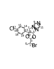 CC(Br)C1OCC(Cn2cncn2)(c2ccc(Cl)cc2)O1